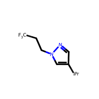 CC(C)c1cnn(CCC(F)(F)F)c1